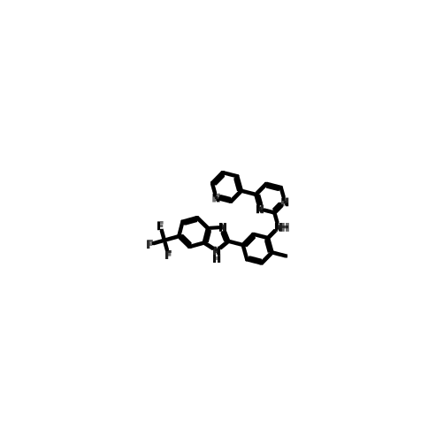 Cc1ccc(-c2nc3ccc(C(F)(F)F)cc3[nH]2)cc1Nc1nccc(-c2cccnc2)n1